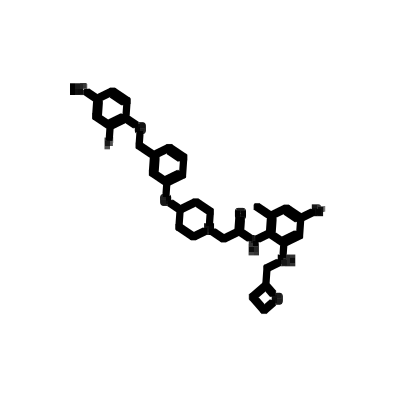 Cc1cc(Br)cc(NCC2CCO2)c1NC(=O)CN1CCC(Oc2cccc(COc3ccc(C#N)cc3F)c2)CC1